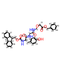 C[C@@H](OCNC(=O)CNC(=O)[C@H](Cc1ccc(O)cc1)NC(=O)OCC1c2ccccc2-c2ccccc21)C(=O)OCc1ccccc1